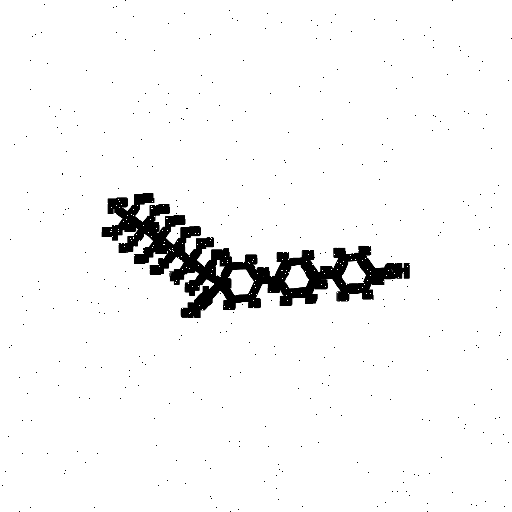 N#CC1(C(F)(F)C(F)(F)C(F)(F)C(F)(F)C(F)(F)C(F)(F)F)CCC(c2ccc(-c3ccc(O)cc3)cc2)CC1